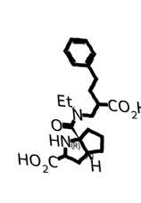 CCN(CC(CCc1ccccc1)C(=O)O)C(=O)[C@@]12CCC[C@@H]1CC(C(=O)O)N2